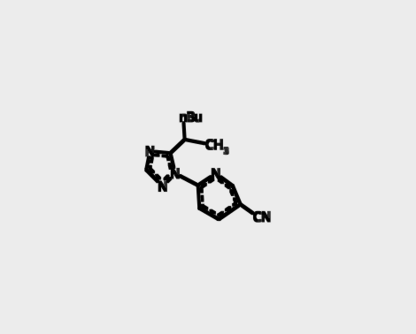 CCCCC(C)c1ncnn1-c1ccc(C#N)cn1